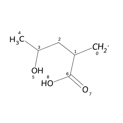 [CH2]C(CC(C)O)C(=O)O